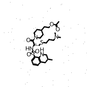 CC(=O)OCCC1CCN(C(=O)[C@H](CSCCCN(C)C)NS(=O)(=O)c2cccc3c2NCC(C)C3)CC1